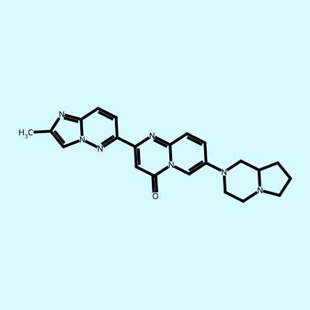 Cc1cn2nc(-c3cc(=O)n4cc(N5CCN6CCCC6C5)ccc4n3)ccc2n1